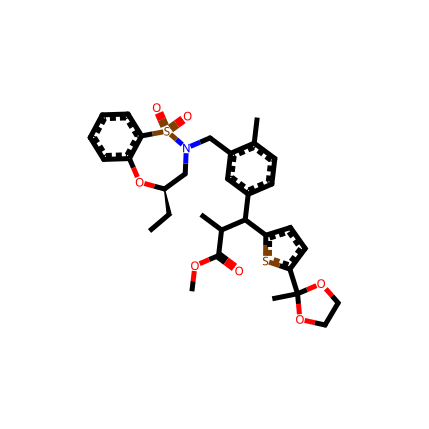 CC[C@@H]1CN(Cc2cc(C(c3ccc(C4(C)OCCO4)s3)C(C)C(=O)OC)ccc2C)S(=O)(=O)c2ccccc2O1